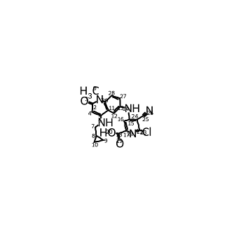 Cn1c(=O)cc(NCC2CC2)c2cc(Nc3cc(C(=O)O)nc(Cl)c3C#N)ccc21